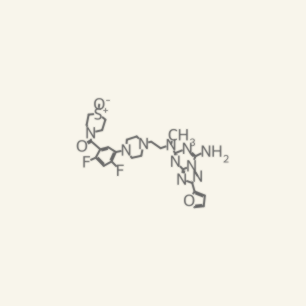 CN(CCN1CCN(c2cc(C(=O)N3CC[S+]([O-])CC3)c(F)cc2F)CC1)c1nc(N)n2nc(-c3ccco3)nc2n1